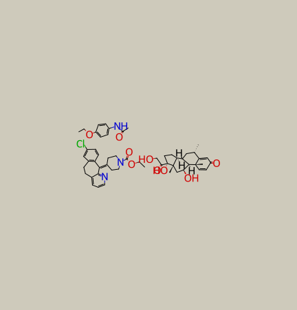 CCOC(=O)N1CCC(=C2c3ccc(Cl)cc3CCc3cccnc32)CC1.CCOc1ccc(NC(C)=O)cc1.C[C@H]1C[C@@H]2[C@H]([C@@H](O)C[C@@]3(C)[C@H]2CC[C@]3(O)C(=O)CO)[C@@]2(C)C=CC(=O)C=C12